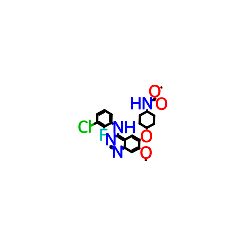 COC(=O)N[C@H]1CC[C@@H](Oc2cc3c(Nc4cccc(Cl)c4F)ncnc3cc2OC)CC1